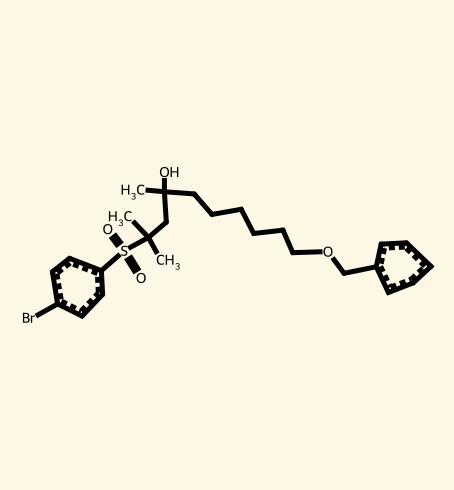 CC(O)(CCCCCCOCc1ccccc1)CC(C)(C)S(=O)(=O)c1ccc(Br)cc1